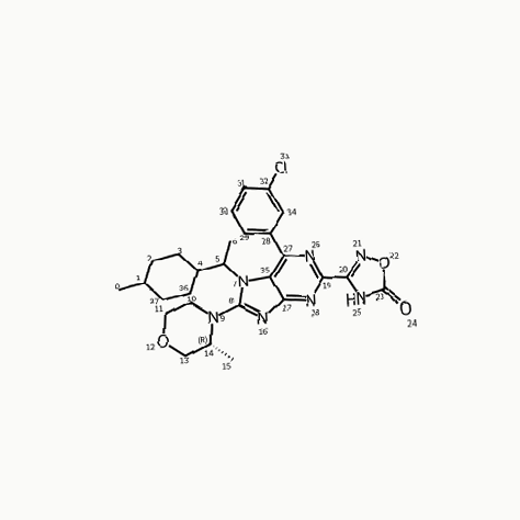 CC1CCC(C(C)n2c(N3CCOC[C@H]3C)nc3nc(-c4noc(=O)[nH]4)nc(-c4cccc(Cl)c4)c32)CC1